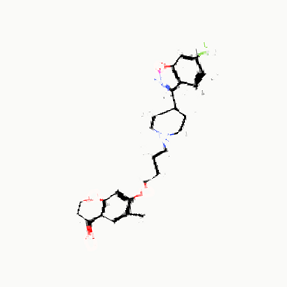 Cc1cc2c(cc1OCCCCN1CCC(c3noc4cc(F)ccc34)CC1)OCCC2=O